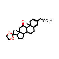 CC1(C2CCC3C4CCC5=CC(CC(=O)O)=CCC5(C)C4C(=O)CC32C)OCCO1